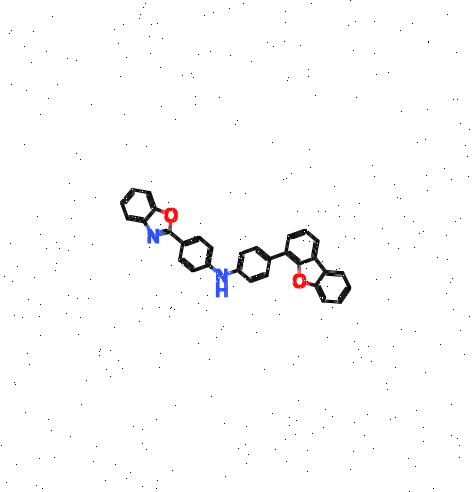 c1ccc2oc(-c3ccc(Nc4ccc(-c5cccc6c5oc5ccccc56)cc4)cc3)nc2c1